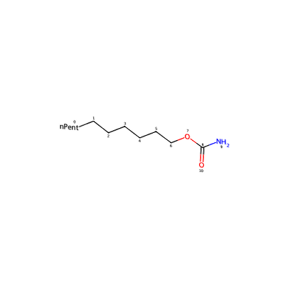 CCCCCCCCCCCOC(N)=O